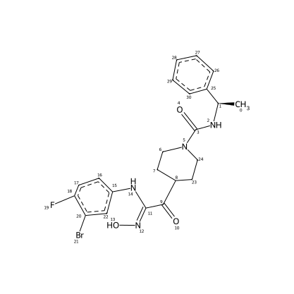 C[C@@H](NC(=O)N1CCC(C(=O)/C(=N/O)Nc2ccc(F)c(Br)c2)CC1)c1ccccc1